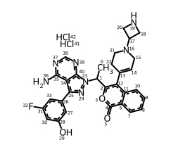 CC(c1oc(=O)c2ccccc2c1C1=CCN(C2CNC2)CC1)n1nc(-c2cc(O)cc(F)c2)c2c(N)ncnc21.Cl.Cl